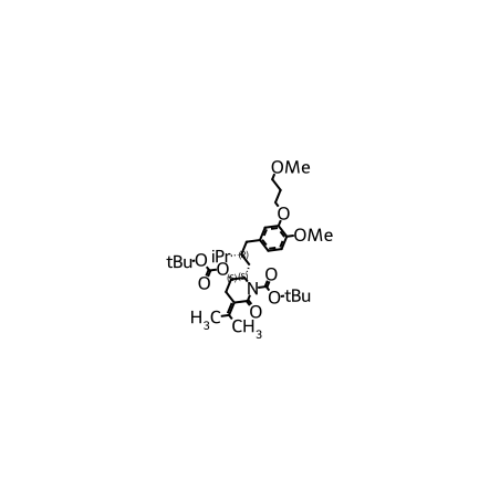 COCCCOc1cc(C[C@H](C[C@H]2[C@@H](OC(=O)OC(C)(C)C)CC(=C(C)C)C(=O)N2C(=O)OC(C)(C)C)C(C)C)ccc1OC